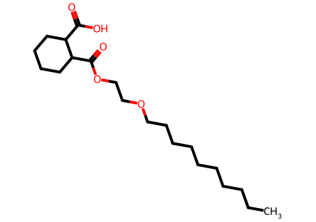 CCCCCCCCCCOCCOC(=O)C1CCCCC1C(=O)O